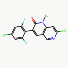 CCn1c(=O)c(-c2c(F)cc(Cl)cc2F)cc2cnc(Cl)cc21